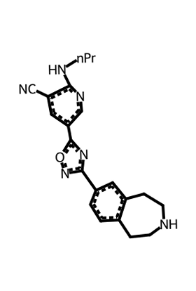 CCCNc1ncc(-c2nc(-c3ccc4c(c3)CCNCC4)no2)cc1C#N